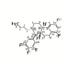 C=CCC[C@@H]1CC[C@H]2c3cc(F)cc(F)c3CC[C@@H]2[C@H]1c1cc(F)c(F)c(F)c1